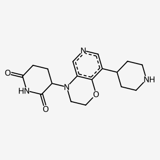 O=C1CCC(N2CCOc3c(C4CCNCC4)cncc32)C(=O)N1